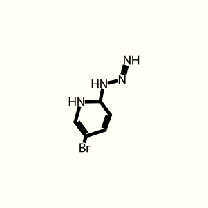 N=NNC1C=CC(Br)=CN1